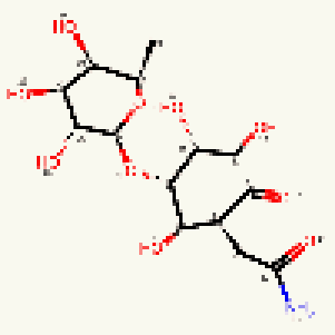 C[C@H]1O[C@@H](O[C@@H]([C@H](O)[C@@H](C=O)CC(N)=O)[C@H](O)CO)[C@H](O)[C@@H](O)[C@H]1O